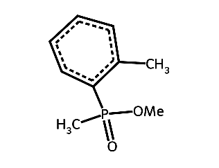 COP(C)(=O)c1ccccc1C